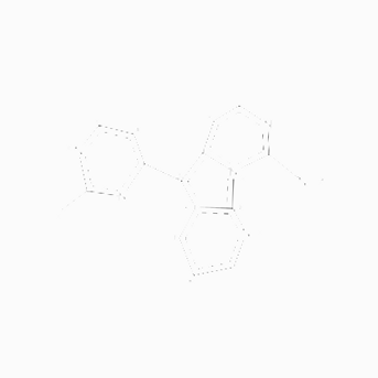 CC(=O)Nc1nccc2c(-c3ccnc(S)n3)c3cccnc3n12